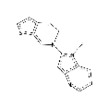 Cn1c(N2C=c3sccc3=CC2)cc2ncccc21